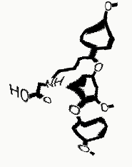 COc1ccc(C(CCCNCC(=O)O)Oc2ccc(Oc3cccc(OC)c3)c(OC)c2)cc1